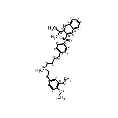 COc1ccc(CCN(C)CCCOc2ccc(S(=O)(=O)c3cc4ccccc4nc3C(C)C)cc2)cc1OC